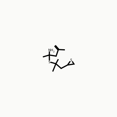 C=C(C)CC(C)(N)SC(C)(C)CC1CS1